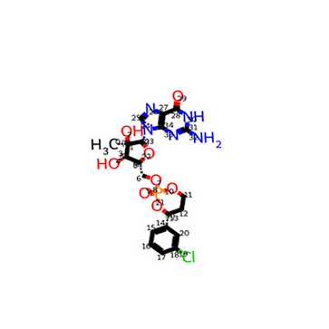 C[C@@]1(O)[C@H](O)[C@@H](COP2(=O)OCC[C@H](c3cccc(Cl)c3)O2)O[C@H]1n1cnc2c(=O)[nH]c(N)nc21